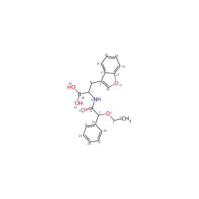 CCOC(C(=O)NC(Cc1coc2ccccc12)B(O)O)c1ccccc1